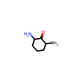 BC1CCCC(N)C1=O